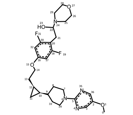 COc1cnc(N2CCC([C@H]3C[C@H]3CCOc3cc(F)c(CC(O)N4CCOCC4)c(F)c3)CC2)nc1